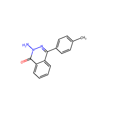 Cc1ccc(-c2nn(N)c(=O)c3ccccc23)cc1